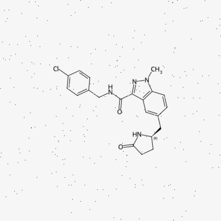 Cn1nc(C(=O)NCc2ccc(Cl)cc2)c2cc(C[C@H]3CCC(=O)N3)ccc21